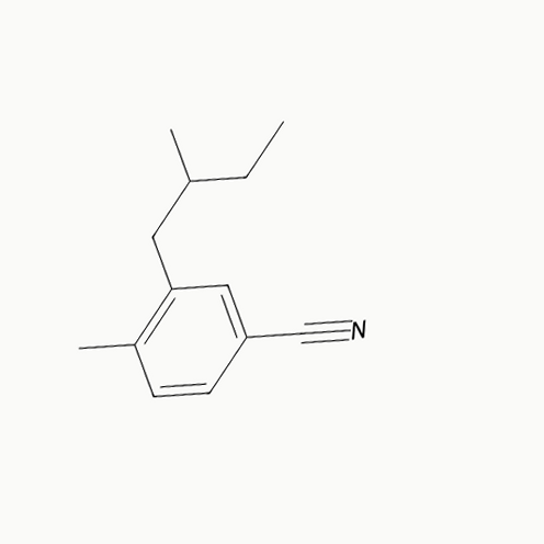 CCC(C)Cc1cc(C#N)ccc1C